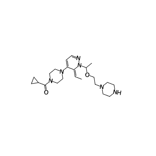 C/C=C1/C(N2CCN(C(=O)C3CC3)CC2)=CC=NN1C(C)OCCN1CCNCC1